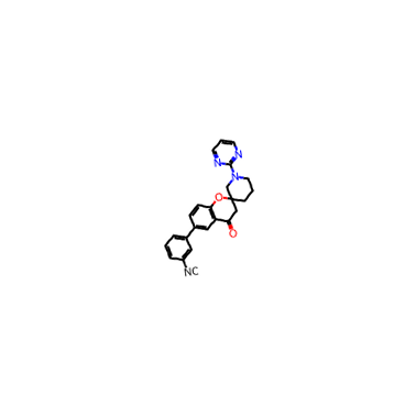 [C-]#[N+]c1cccc(-c2ccc3c(c2)C(=O)CC2(CCCN(c4ncccn4)C2)O3)c1